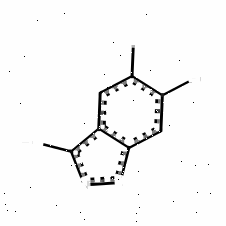 CCc1cc2snc(O)c2cc1CC